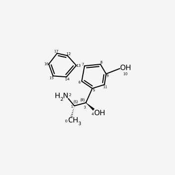 C[C@H](N)[C@H](O)c1cccc(O)c1.c1ccccc1